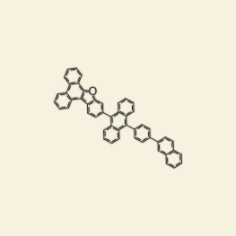 c1ccc2cc(-c3ccc(-c4c5ccccc5c(-c5ccc6c(c5)oc5c7ccccc7c7ccccc7c65)c5ccccc45)cc3)ccc2c1